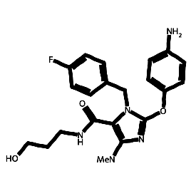 CNc1nc(Oc2ccc(N)cc2)n(Cc2ccc(F)cc2)c1C(=O)NCCCO